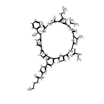 CNC(=O)C[C@@H]1NC(=O)c2csc(n2)-c2ccc(-c3nc(NC(=O)CCCO)cs3)nc2-c2csc(n2)-c2csc(n2)[C@H]([C@@H](O)c2ccccc2)NC(=O)CNC(=O)c2nc(sc2COC)[C@H](C(C)C)NC(=O)C2N=C1SC2C